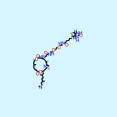 CC(/C=C/C(C)=C/[C@@H]1Cc2nc(cs2)[C@@H](C)C[C@@H](NCC(=O)NCCOCCOCCNC(=O)CCCC[C@@H]2SC[C@@H]3NC(=O)N[C@@H]32)CC(=O)O[C@@H](C)C/C(C)=C/C=C\C(=O)O1)=C\CN(C)C